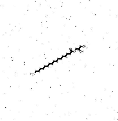 CCCCCCCCCCCCCCCCCC(=O)OCC(O)CC